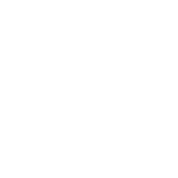 C1=CC2(CCCC2)OCC1